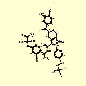 C[C@H](NC(=O)c1c2n(c(=O)n1-c1ccc(OCC(F)(F)F)cc1)CCN(C(=O)c1ccc(Br)c(Cl)c1)C2)c1ccc(OC(C)(C)C(N)=O)cc1F